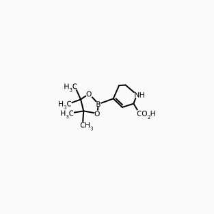 CC1(C)OB(C2=CC(C(=O)O)NCC2)OC1(C)C